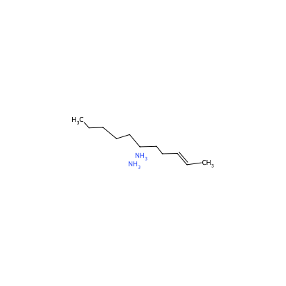 C/C=C/CCCCCCCC.N.N